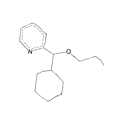 CCCOC(c1ccccn1)C1CCCCC1